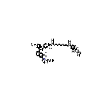 CN/C=C(\C=N)c1cc2c(cc1C(F)F)N(c1nn(C3CCN(CC(=O)NCCCCCCCCCNc4ccc(C(=O)Nc5ncc(C)s5)c(C)c4)CC3)c3c1CN(C(C)=O)CC3)CCC2